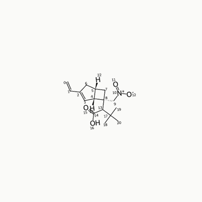 C=CC1=C[C@@H]2[C@H](C1)C[C@@]2(C[N+](=O)[O-])C(C(=O)O)C(C)(C)C